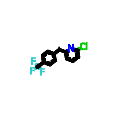 FC(F)(F)c1ccc([CH]c2cccc(Cl)n2)cc1